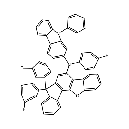 Fc1ccc(N(c2ccc3c4ccccc4n(-c4ccccc4)c3c2)c2cc3c(c4oc5ccccc5c24)-c2ccccc2C3(c2cccc(F)c2)c2cccc(F)c2)cc1